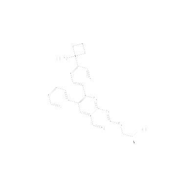 C[C@H](O)CNc1ncc2cc(-c3ccccc3)c(-c3ccc(C4(N)CCC4)cc3)nc2n1